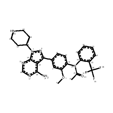 COc1cc(-c2nn(C3CCNCC3)c3ncnc(N)c23)ccc1N(C(C)=O)c1ccccc1C(F)(F)F